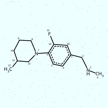 CNCc1ccc(N2CCCC(C)C2)c(F)c1